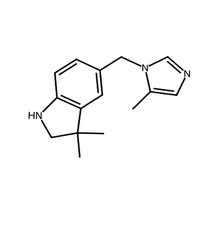 Cc1cncn1Cc1ccc2c(c1)C(C)(C)CN2